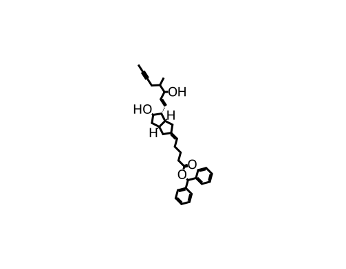 CC#CCC(C)C(O)/C=C/[C@@H]1[C@H]2C/C(=C/CCCC(=O)OC(c3ccccc3)c3ccccc3)C[C@H]2C[C@H]1O